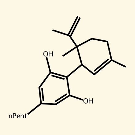 C=C(C)C1(C)CCC(C)=CC1c1c(O)cc(CCCCC)cc1O